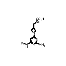 CC(C)Nc1cc(N2CC(CNC(=O)O)C2)nc(N)n1